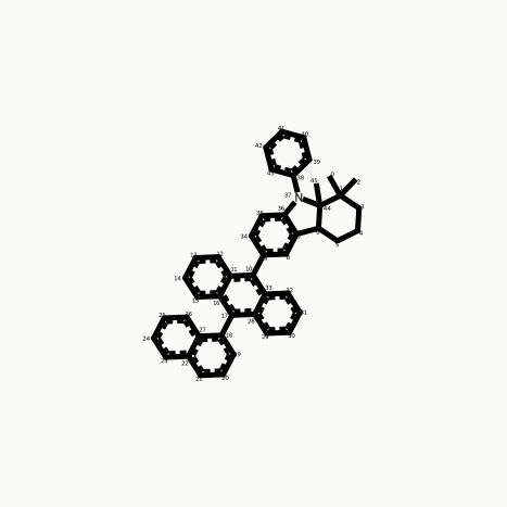 CC1(C)CCCC2c3cc(-c4c5ccccc5c(-c5cccc6ccccc56)c5ccccc45)ccc3N(c3ccccc3)C21C